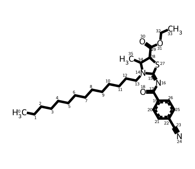 CCCCCCCCCCCCCCN1C(=NC(=O)c2ccc(C#N)cc2)SC(C(=O)OCC)C1C